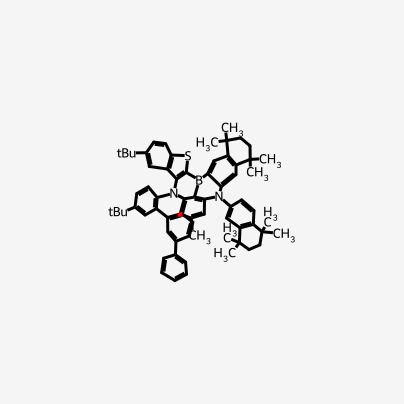 Cc1cc2c3c(c1)N(c1ccc(C(C)(C)C)cc1-c1cccc(-c4ccccc4)c1)c1c(sc4ccc(C(C)(C)C)cc14)B3c1cc3c(cc1N2c1ccc2c(c1)C(C)(C)CCC2(C)C)C(C)(C)CCC3(C)C